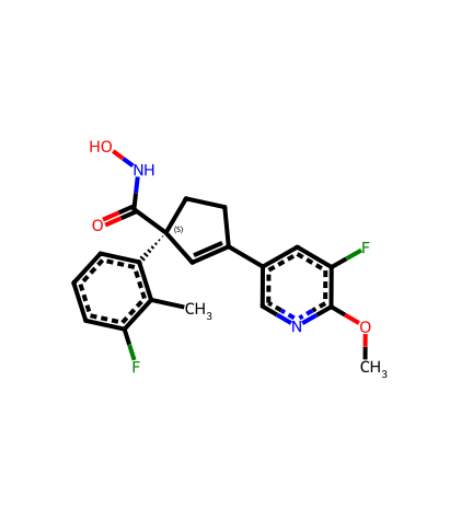 COc1ncc(C2=C[C@](C(=O)NO)(c3cccc(F)c3C)CC2)cc1F